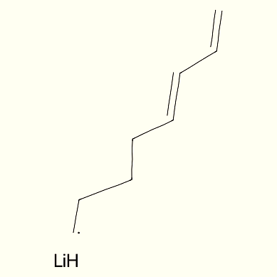 [CH2]CCCC=CC=C.[LiH]